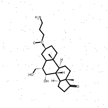 C[C@]12CC[C@H]([S+]([O-])CCCN)CC1[C@@H](CO)[C@@H](O)[C@@H]1[C@@H]2CC[C@]2(C)C(=O)CC[C@@H]12